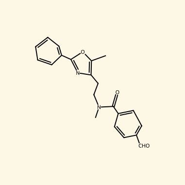 Cc1oc(-c2ccccc2)nc1CCN(C)C(=O)c1ccc(C=O)cc1